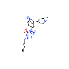 C=CCCCCNC(=O)Nc1ccc2[nH]cc(C3CCN4CCCC4C3)c2c1